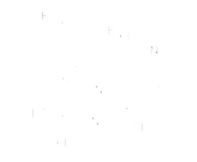 Cc1ncccc1Cn1c(CO)nc(C(C)C)c1Sc1cc(F)cc(F)c1